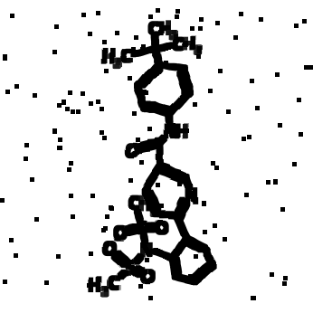 CC(C)(C)c1ccc(NC(=O)c2ccc(-c3ccccc3N(S(C)(=O)=O)S(C)(=O)=O)nc2)cc1